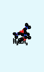 CC(C)(C)c1ccc2c(c1)Oc1cc(-c3ccccc3-c3ccccc3)cc3c1B2c1cc2c4cc(-n5c6ccccc6c6ccccc65)ccc4oc2c2c4c5oc6ccc(-n7c8ccccc8c8ccccc87)cc6c5ccc4n-3c12